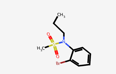 CCCN(c1ccccc1Br)S(C)(=O)=O